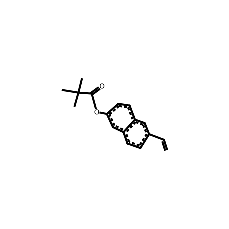 C=Cc1ccc2cc(OC(=O)C(C)(C)C)ccc2c1